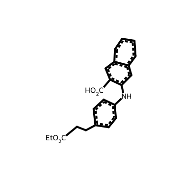 CCOC(=O)CCc1ccc(Nc2cc3ccccc3cc2C(=O)O)cc1